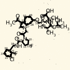 CC(=O)c1cn(CC(=O)N2C[C@H](F)C[C@H]2C(=O)NCc2cccc(Cl)c2F)c2cc(OCP(=O)(N[C@@H](C)C(=O)O)N[C@@H](C)C(=O)OC(C)C)ccc12